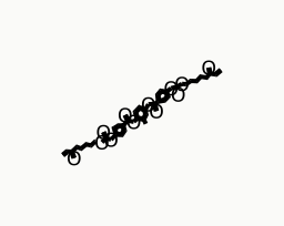 C=CC(=O)CCCCCOC(=O)Oc1ccc(C(=O)Oc2ccc(OC(=O)c3ccc(OC(=O)OCCCCCC(=O)C=C)cc3)c(C)c2)cc1